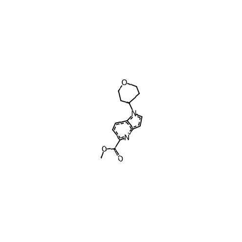 COC(=O)c1ccc2c(ccn2C2CCOCC2)n1